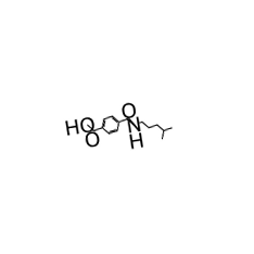 CC(C)CCCNC(=O)c1ccc(C(=O)O)cc1